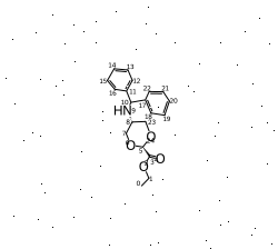 CCOC(=O)[C@H]1OC[C@H](NC(c2ccccc2)c2ccccc2)CO1